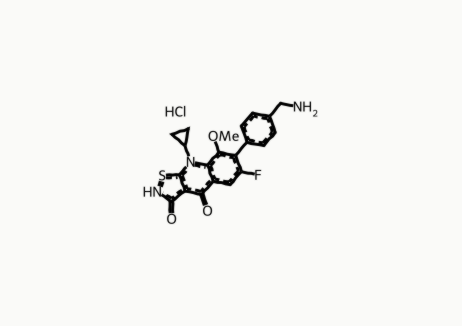 COc1c(-c2ccc(CN)cc2)c(F)cc2c(=O)c3c(=O)[nH]sc3n(C3CC3)c12.Cl